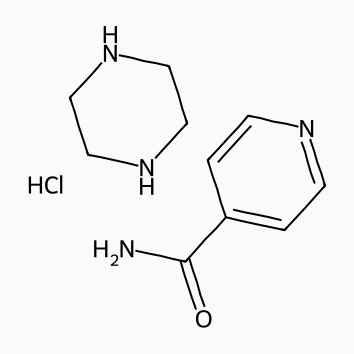 C1CNCCN1.Cl.NC(=O)c1ccncc1